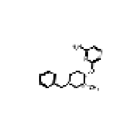 C[C@@H]1CN(Cc2ccccc2)CC[C@@H]1Oc1cccc(N)n1